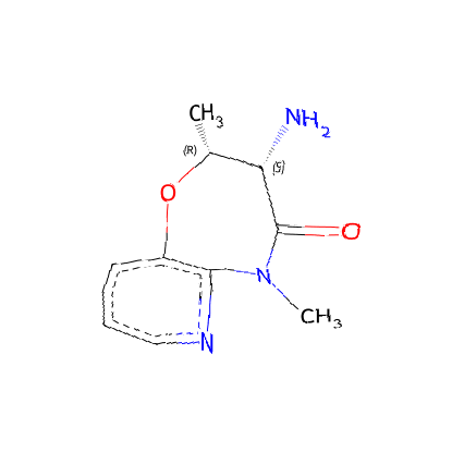 C[C@H]1Oc2cccnc2N(C)C(=O)[C@H]1N